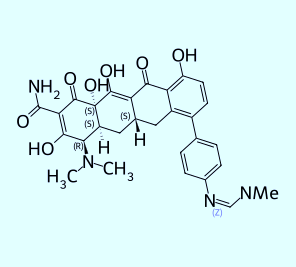 CN/C=N\c1ccc(-c2ccc(O)c3c2C[C@@H]2C[C@H]4[C@@H](N(C)C)C(O)=C(C(N)=O)C(=O)[C@@]4(O)C(O)=C2C3=O)cc1